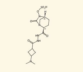 CN(C)C1CC(C(=O)NNC(=O)[C@@H]2CC[C@@H]3CN2C(=O)N3OS(=O)(=O)O)C1